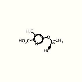 C#C[C@H](C)Oc1cnc(C(=O)O)c(C)c1